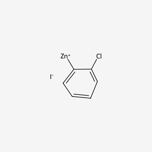 Clc1cccc[c]1[Zn+].[I-]